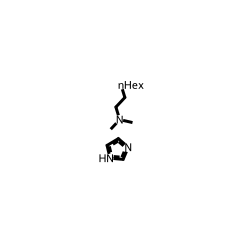 CCCCCCCCN(C)C.c1c[nH]cn1